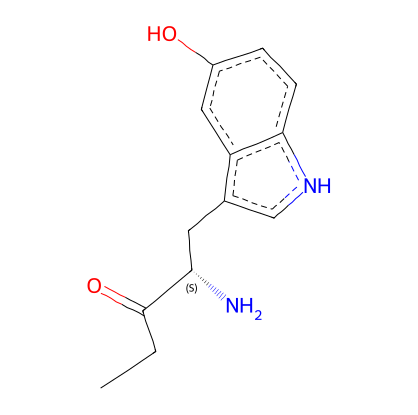 CCC(=O)[C@@H](N)Cc1c[nH]c2ccc(O)cc12